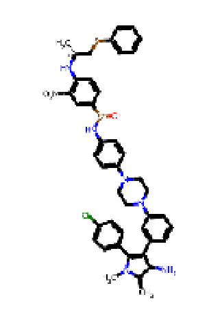 CC1C(N)C(c2cccc(N3CCN(c4ccc(N[S+]([O-])c5ccc(N[C@H](C)CSc6ccccc6)c([N+](=O)[O-])c5)cc4)CC3)c2)=C(c2ccc(Cl)cc2)N1C